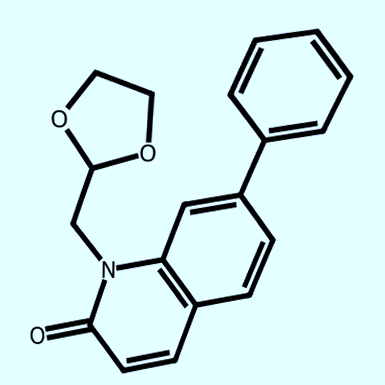 O=c1ccc2ccc(-c3ccccc3)cc2n1CC1OCCO1